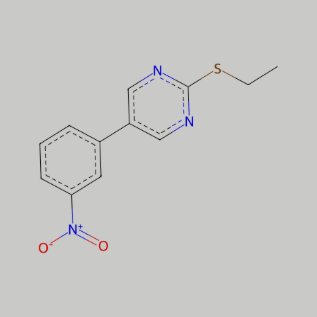 CCSc1ncc(-c2cccc([N+](=O)[O-])c2)cn1